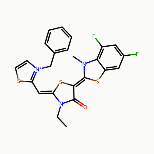 CCn1c(=O)/c(=C2\Sc3cc(F)cc(F)c3N2C)s/c1=C\c1scc[n+]1Cc1ccccc1